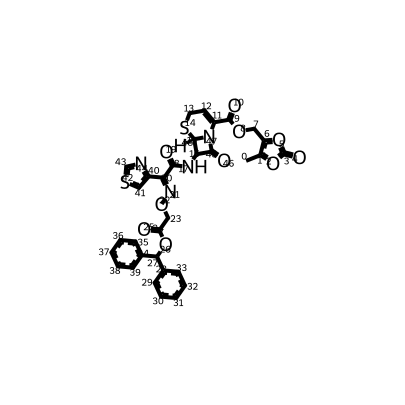 Cc1oc(=O)oc1COC(=O)C1=CCS[C@H]2C(NC(=O)C(=NOCC(=O)OC(c3ccccc3)c3ccccc3)c3cscn3)C(=O)N12